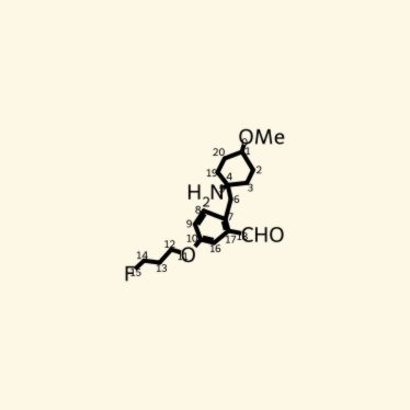 COC1CCC(N)(Cc2ccc(OCCCF)cc2C=O)CC1